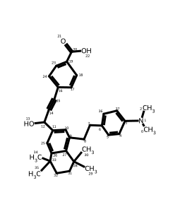 CN(C)c1ccc(CCc2cc(C(O)C#Cc3ccc(C(=O)O)cc3)cc3c2C(C)(C)CCC3(C)C)cc1